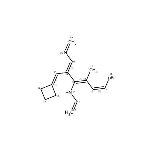 C=CNC(=C(C)\C=C/CCC)/C(C=C1CCC1)=C/N=C